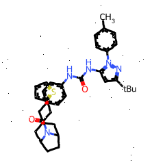 Cc1ccc(-n2nc(C(C)(C)C)cc2NC(=O)Nc2ccc(CC3CC4CCC(C3)N4C(=O)Cc3cccs3)cc2)cc1